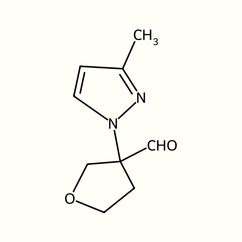 Cc1ccn(C2(C=O)CCOC2)n1